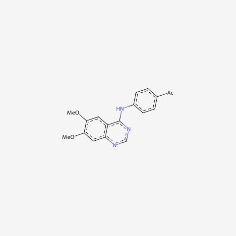 COc1cc2ncnc(Nc3ccc(C(C)=O)cc3)c2cc1OC